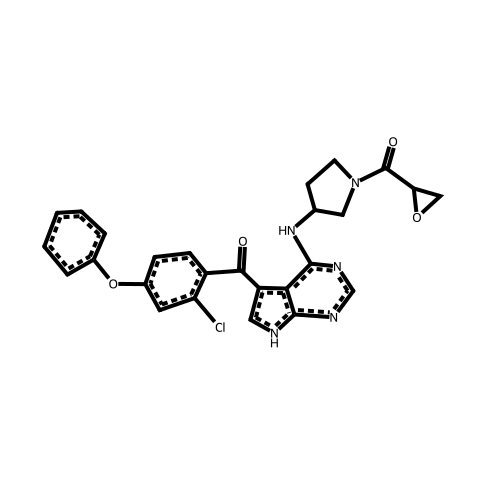 O=C(c1ccc(Oc2ccccc2)cc1Cl)c1c[nH]c2ncnc(NC3CCN(C(=O)C4CO4)C3)c12